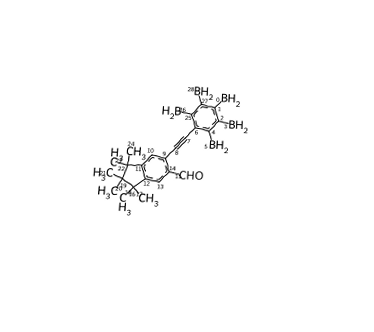 Bc1c(B)c(B)c(C#Cc2cc3c(cc2C=O)C(C)(C)C(C)(C)C3(C)C)c(B)c1B